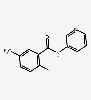 O=C(Nc1cccnc1)c1cc(C(F)(F)F)ccc1F